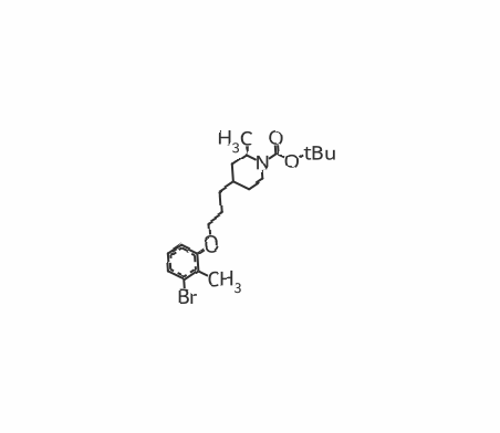 Cc1c(Br)cccc1OCCCC1CCN(C(=O)OC(C)(C)C)[C@H](C)C1